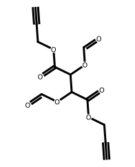 C#CCOC(=O)C(OC=O)C(OC=O)C(=O)OCC#C